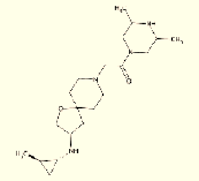 CC1CN(C(=O)CN2CCC3(CC2)CC(N[C@@H]2C[C@H]2C)CO3)CC(C)N1